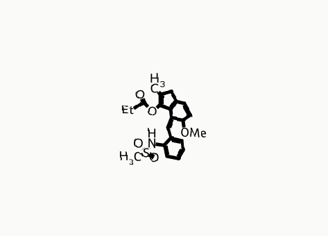 CCC(=O)OC1=C(C)CC2=C1C(=Cc1ccccc1NS(C)(=O)=O)C(OC)C=C2